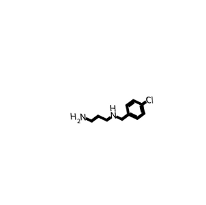 NCCCNCc1ccc(Cl)cc1